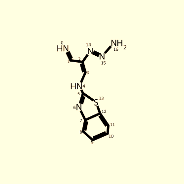 N=C/C(=C\Nc1nc2ccccc2s1)N=NN